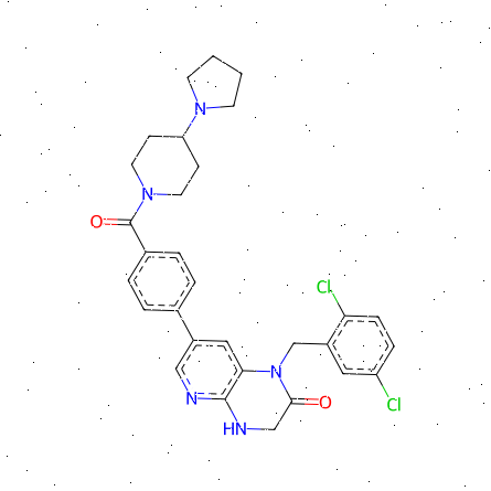 O=C(c1ccc(-c2cnc3c(c2)N(Cc2cc(Cl)ccc2Cl)C(=O)CN3)cc1)N1CCC(N2CCCC2)CC1